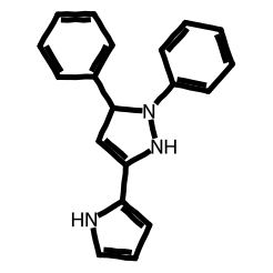 C1=C(c2ccc[nH]2)NN(c2ccccc2)C1c1ccccc1